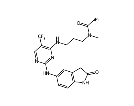 CC(C)C(=O)N(C)CCCNc1nc(Nc2ccc3c(c2)CC(=O)N3)ncc1C(F)(F)F